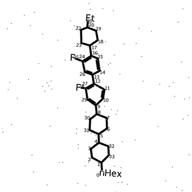 CCCCCCC1CCC(C2CCC(c3ccc(-c4ccc(C5CCC(CC)CC5)c(F)c4)c(F)c3)CC2)CC1